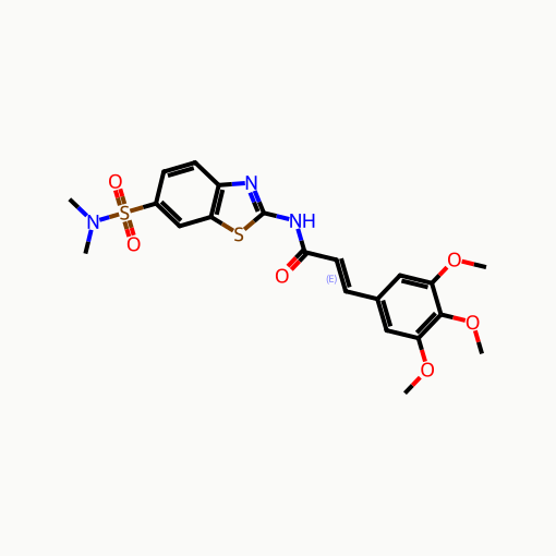 COc1cc(/C=C/C(=O)Nc2nc3ccc(S(=O)(=O)N(C)C)cc3s2)cc(OC)c1OC